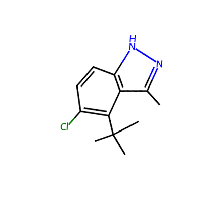 Cc1n[nH]c2ccc(Cl)c(C(C)(C)C)c12